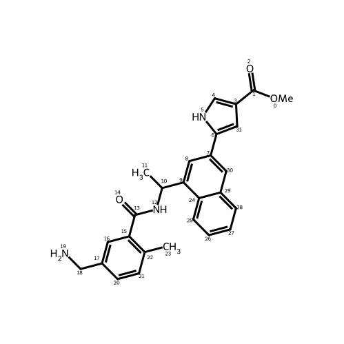 COC(=O)c1c[nH]c(-c2cc(C(C)NC(=O)c3cc(CN)ccc3C)c3ccccc3c2)c1